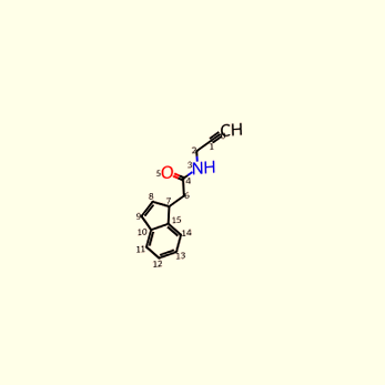 C#CCNC(=O)CC1C=Cc2ccccc21